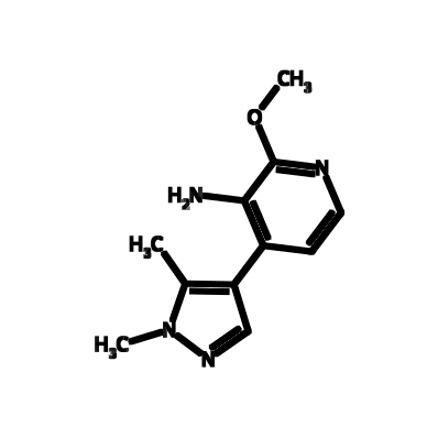 COc1nccc(-c2cnn(C)c2C)c1N